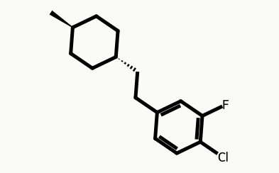 C[C@H]1CC[C@H](CCc2ccc(Cl)c(F)c2)CC1